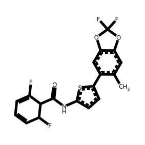 Cc1cc2c(cc1-c1ccc(NC(=O)C3C(F)=CC=CC3F)s1)OC(F)(F)O2